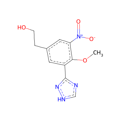 COc1c(-c2nc[nH]n2)cc(CCO)cc1[N+](=O)[O-]